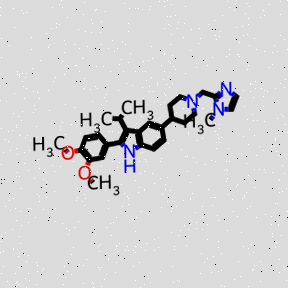 COc1ccc(-c2[nH]c3ccc(C4CCN(Cc5nccn5C)CC4)cc3c2C(C)C)cc1OC